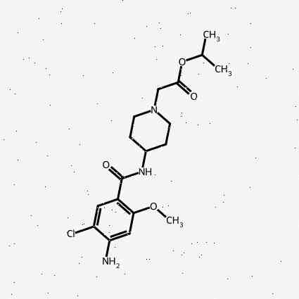 COc1cc(N)c(Cl)cc1C(=O)NC1CCN(CC(=O)OC(C)C)CC1